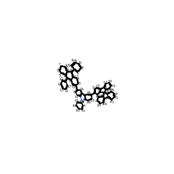 c1ccc(-c2c3ccccc3c(-c3ccccc3)c3cc(-c4ccc5c(c4)c4cc(-c6ccc7c(c6)C6(c8ccccc8-c8ccccc86)c6ccccc6-7)ccc4n5-c4ccccc4)ccc23)cc1